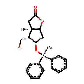 CC(C)(C)[Si](O[C@@H]1CC2OC(=O)C[C@@H]2[C@H]1CO)(c1ccccc1)c1ccccc1